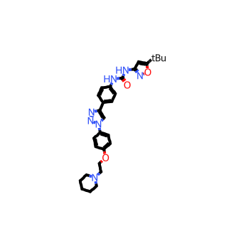 CC(C)(C)c1cc(NC(=O)Nc2ccc(-c3cn(-c4ccc(OCCN5CCCCC5)cc4)nn3)cc2)no1